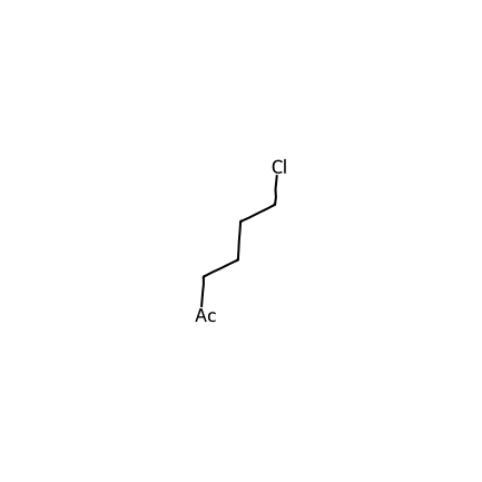 [CH2]C(=O)CCCCCl